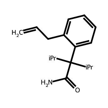 C=CCc1ccccc1C(C(N)=O)(C(C)C)C(C)C